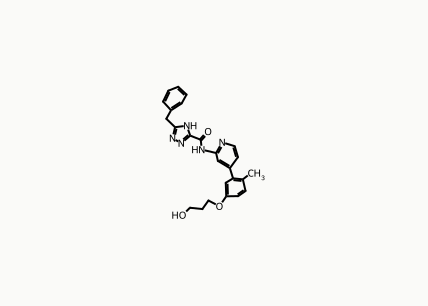 Cc1ccc(OCCCO)cc1-c1ccnc(NC(=O)c2nnc(Cc3ccccc3)[nH]2)c1